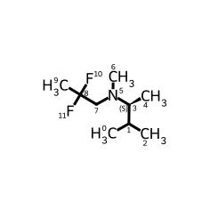 CC(C)[C@H](C)N(C)CC(C)(F)F